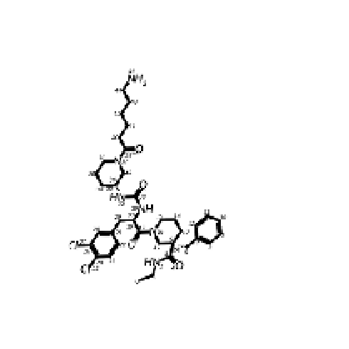 CCNC(=O)[C@]1(Cc2ccccc2)CCCN(C(=O)[C@@H](Cc2ccc(Cl)c(Cl)c2)NC(=O)N[C@@H]2CCCN(C(=O)CCCCCN)C2)C1